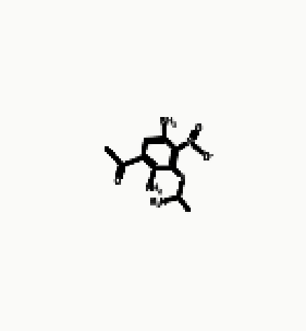 CC(=O)c1cc(N)c([N+](=O)[O-])c(SC(C)N)c1N